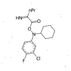 CCCC(=N)C(=O)ON(c1ccc(F)c(Cl)c1)C1CCCCC1